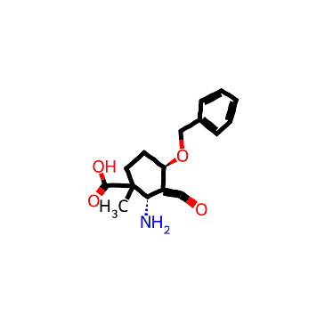 CC1(C(=O)O)CC[C@@H](OCc2ccccc2)C(=C=O)[C@@H]1N